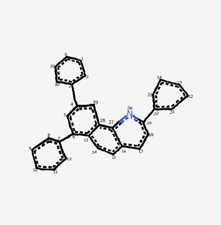 c1ccc(-c2cc(-c3ccccc3)c3ccc4ccc(-c5ccccc5)nc4c3c2)cc1